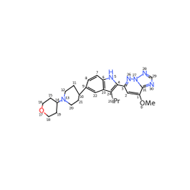 COc1cc(-c2[nH]c3ccc(C4CCN(C5CCOCC5)CC4)cc3c2C(C)C)nn2ncnc12